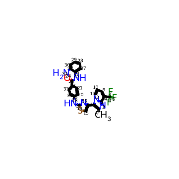 Cc1nc2c(C(F)(F)F)cccn2c1-c1csc(Nc2ccc(C(=O)Nc3ccccc3N)cc2)n1